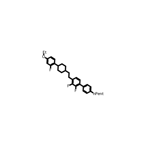 CCCCCc1ccc(-c2ccc(CCC3CCC(c4ccc(OCC)cc4F)CC3)c(F)c2F)cc1